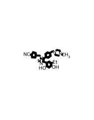 CCc1cc(-c2nnn(Cc3ccc(C#N)cc3)c2-c2ccc(CN3CCN(C)CC3)cc2)c(O)cc1O